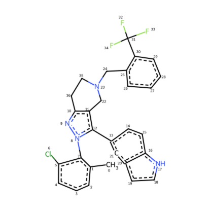 Cc1cccc(Cl)c1-n1nc2c(c1-c1ccc3[nH]ccc3c1)CN(Cc1ccccc1C(F)(F)F)CC2